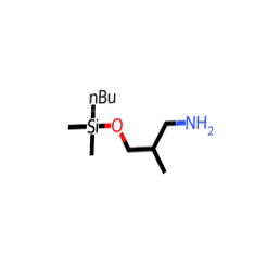 CCCC[Si](C)(C)OCC(C)CN